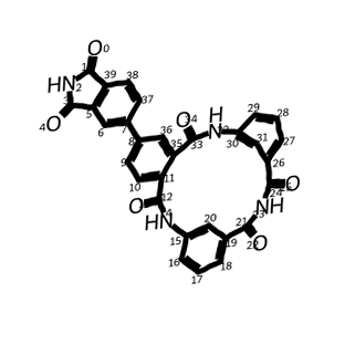 O=C1NC(=O)c2cc(-c3ccc4c(=O)[nH]c5cccc(c5)c(=O)[nH]c(=O)c5cccc(c5)[nH]c(=O)c4c3)ccc21